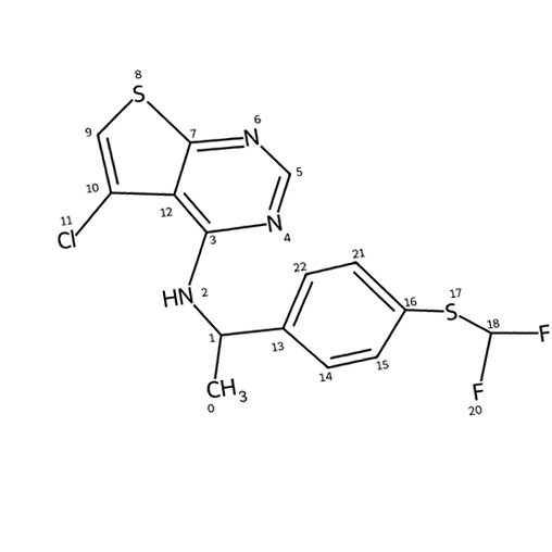 CC(Nc1ncnc2scc(Cl)c12)c1ccc(SC(F)F)cc1